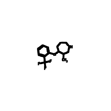 CC1CNCCCC1Oc1ccccc1C(F)(F)F